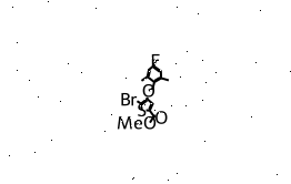 COC(=O)c1cc(OCc2c(C)cc(F)cc2C)c(Br)s1